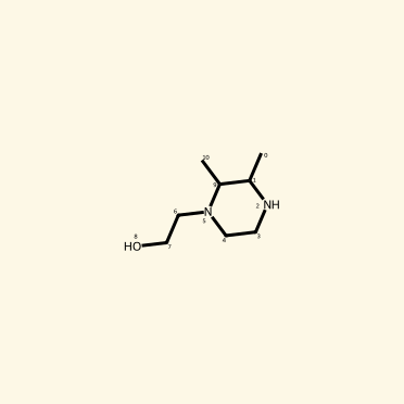 CC1NCCN(CCO)C1C